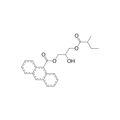 CCC(C)C(=O)OCC(O)COC(=O)c1c2ccccc2cc2ccccc12